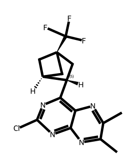 Cc1nc2nc(Cl)nc([C@H]3C[C@]4(C(F)(F)F)C[C@@H]3C4)c2nc1C